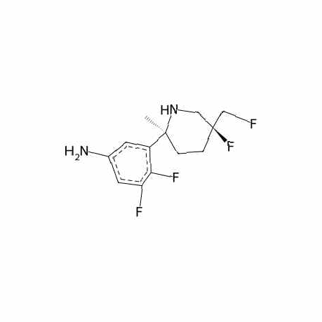 C[C@@]1(c2cc(N)cc(F)c2F)CC[C@@](F)(CF)CN1